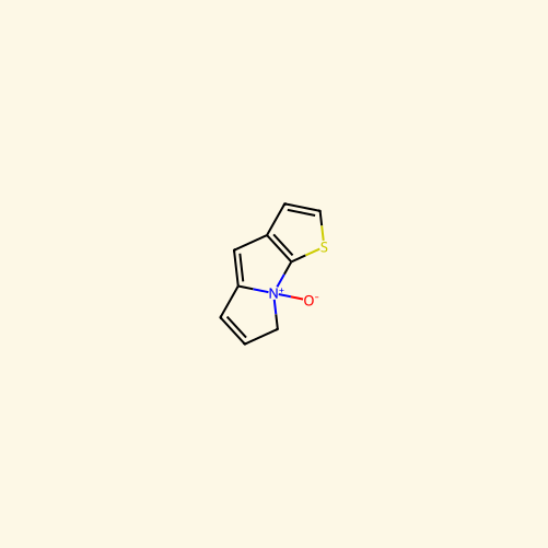 [O-][N+]12CC=CC1=Cc1ccsc12